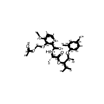 COc1ccnc(C(=O)N[C@@H](C)C(=O)OC(C(C)C)[C@H](C)Oc2ccc(F)cc2C)c1OCOC(C)=O